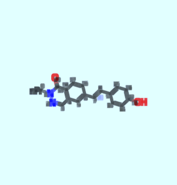 CCCn1ncc2cc(/C=C/c3ccc(O)cc3)ccc2c1=O